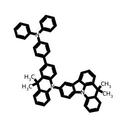 CC1(C)c2ccccc2N(c2ccc3c(c2)c2cccc4c2n3C2=CC=CCC2C4(C)C)c2ccc(-c3ccc(N(c4ccccc4)c4ccccc4)cc3)cc21